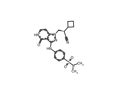 CN(C)S(=O)(=O)c1ccc(Nc2nn(C[C@H](C#N)C3CCC3)c3cc[nH]c(=O)c23)cc1